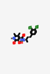 Cc1c(C(=O)NC(C)CCc2ccc(Cl)c(Cl)c2)c(O)c(=O)n(C)c1C